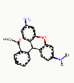 CCN(CC)c1ccc2c(c1)Oc1cc(N)ccc1C2c1ccccc1C(=O)OC